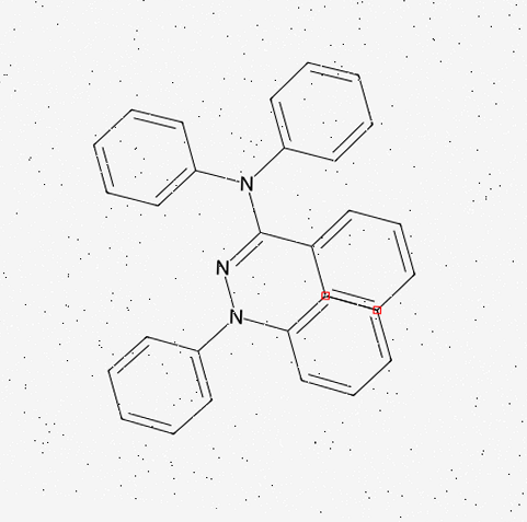 c1ccc(C(=NN(c2ccccc2)c2ccccc2)N(c2ccccc2)c2ccccc2)cc1